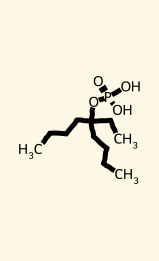 CCCCC(CC)(CCCC)OP(=O)(O)O